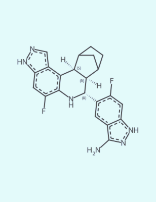 Nc1n[nH]c2cc(F)c([C@@H]3Nc4c(F)cc5[nH]ncc5c4[C@H]4C5CCC(C5)[C@@H]34)cc12